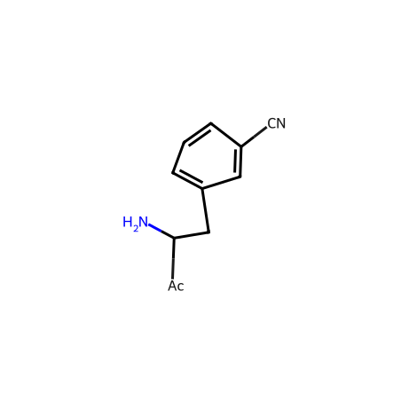 CC(=O)C(N)Cc1cccc(C#N)c1